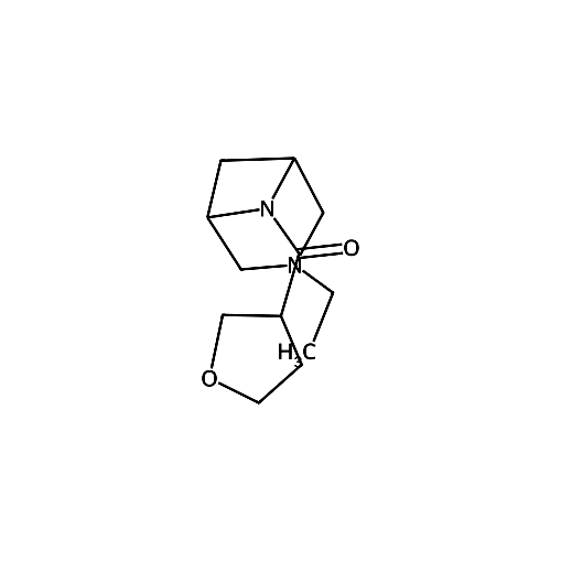 CCN1CC2CC(C1)N2C(=O)C1CCOC1